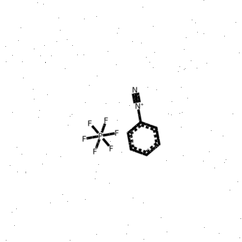 F[P-](F)(F)(F)(F)F.N#[N+]c1ccccc1